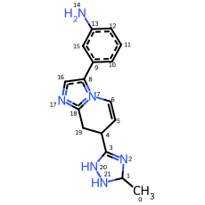 CC1N=C(C2C=Cn3c(-c4cccc(N)c4)cnc3C2)NN1